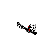 Cc1cc(C[C@@H](OC(=O)N2CCC(N3CCc4ccccc4NC3=O)CC2)C(=O)N2CCN(c3ccc(C(=O)OCCN4CCCCC4=O)cc3)CC2)cc(C)c1O